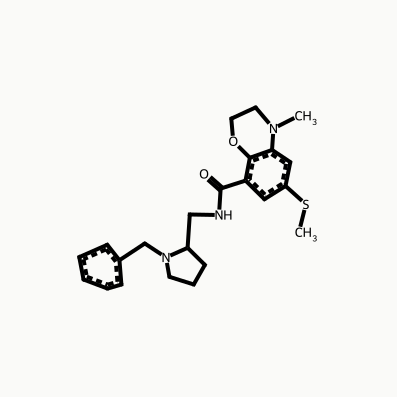 CSc1cc(C(=O)NCC2CCCN2Cc2ccccc2)c2c(c1)N(C)CCO2